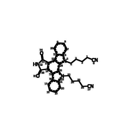 N#CCCCCn1c2ccccc2c2c3c(c4c5ccccc5n(CCCCC#N)c4c21)C(=O)NC3=O